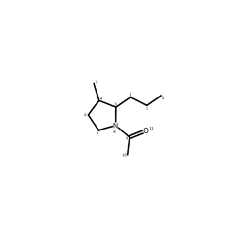 CCCC1C(C)CCN1C(C)=O